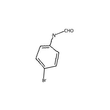 O=C[N]c1ccc(Br)cc1